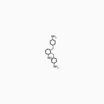 Nc1ccc(Cc2cccc(N)c2Cc2ccc(N)cc2)cc1